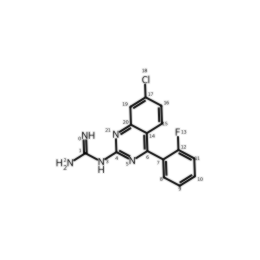 N=C(N)Nc1nc(-c2ccccc2F)c2ccc(Cl)cc2n1